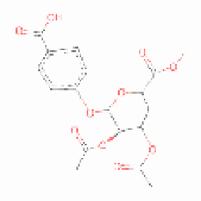 COC(=O)[C@@H]1CC(OC(C)=O)[C@@H](OC(C)=O)C(Oc2ccc(C(=O)O)cc2)O1